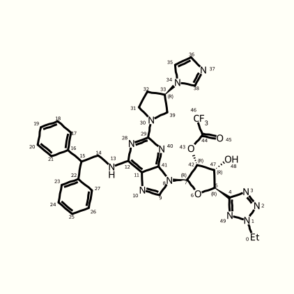 CCn1nnc([C@H]2O[C@@H](n3cnc4c(NCC(c5ccccc5)c5ccccc5)nc(N5CC[C@@H](n6ccnc6)C5)nc43)[C@H](OC(=O)C(F)(F)F)[C@@H]2O)n1